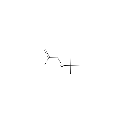 C=C(C)COC(C)(C)C